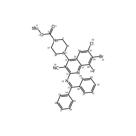 CC(C)(C)OC(=O)N1CCN(c2c(C#N)c(N=C(c3ccccc3)c3ccccc3)nc3c(F)c(Br)c(Cl)cc23)CC1